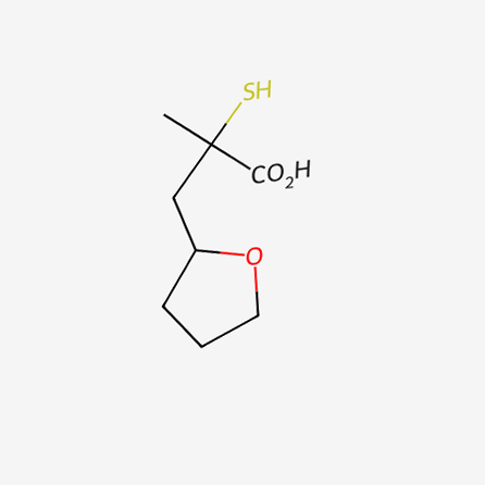 CC(S)(CC1CCCO1)C(=O)O